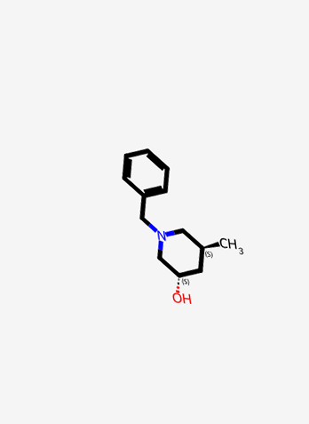 C[C@H]1C[C@H](O)CN(Cc2ccccc2)C1